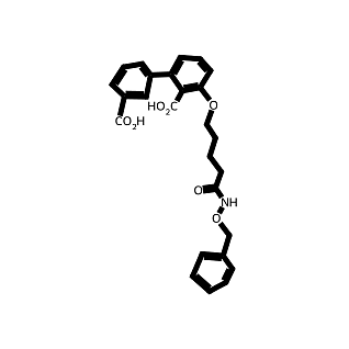 O=C(CCCCOc1cccc(-c2cccc(C(=O)O)c2)c1C(=O)O)NOCc1ccccc1